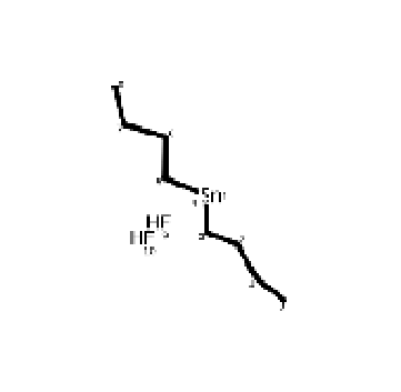 CCC[CH2][Sn][CH2]CCC.F.F